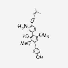 COc1cc(-c2ccc(O)cc2)c(OC)c(O)c1-c1ccc(OCC=C(C)C)c(N)c1